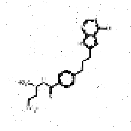 O=C(O)CC[C@H](NC(=O)c1ccc(CCCc2cc3c(O)ncnc3[nH]2)cc1)C(=O)O